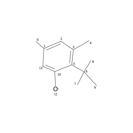 Cc1cc(C)c(C(C)(C)C)c([O])c1